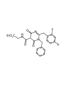 CCOC(=O)CNC(=O)C1C(=O)N=C(Cc2ccc(F)cc2F)N(Cc2ccccc2)C1=O